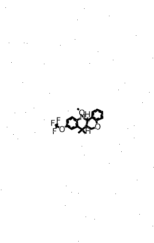 CON1c2ccc(OC(F)(F)F)cc2C(C)(C)[C@H]2COc3ccccc3[C@H]21